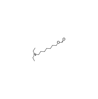 CCN(CC)CCCCCCCOC=O